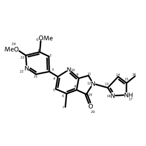 COc1cc(-c2cc(C)c3c(n2)CN(c2cc(C)[nH]n2)C3=O)cnc1OC